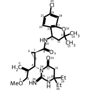 C=C(COC)[C@H]([C@@H]1C[C@H]1C(=O)NC1CC(C)(C)Oc2cc(Cl)ccc21)N1C(=N)NC(CC)(CC)CC1=O